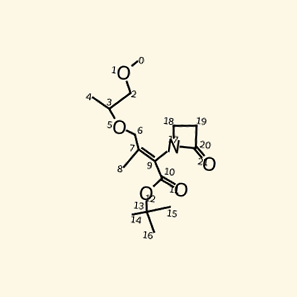 COCC(C)OC/C(C)=C(/C(=O)OC(C)(C)C)N1CCC1=O